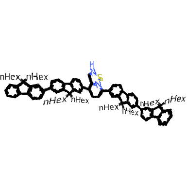 CCCCCCC1(CCCCCC)c2ccccc2-c2ccc(-c3ccc4c(c3)C(CCCCCC)(CCCCCC)c3cc(C5=CC=C(c6ccc7c(c6)C(CCCCCC)(CCCCCC)c6cc(-c8ccc9c(c8)C(CCCCCC)(CCCCCC)c8ccccc8-9)ccc6-7)N6SNC=C56)ccc3-4)cc21